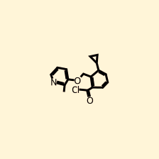 Cc1ncccc1OCc1c(C(=O)Cl)cccc1C1CC1